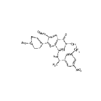 COc1cc2c(=O)n(C)nc(N[C@H](C)c3cc([N+](=O)[O-])cc(C(F)(F)F)c3)c2cc1C1=CCN(C(C)=O)CC1